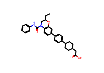 CCC1CN(C(=O)Nc2ccccc2)c2ccc(-c3ccc(C4CCC(CC(=O)O)CC4)cc3)cc2O1